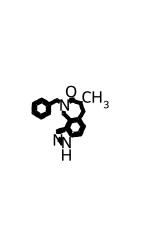 C[C@@H]1Cc2ccc3[nH]ncc3c2CN(Cc2ccccc2)C1=O